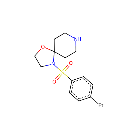 CCc1ccc(S(=O)(=O)N2CCOC23CCNCC3)cc1